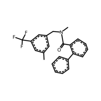 Cc1cc(CN(C)C(=O)c2ccccc2-c2ccccc2)cc(C(F)(F)F)c1